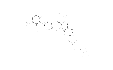 CN(c1ncc2cc(C(F)F)c(=O)n(Cc3ccc(-c4cccc(S(N)(=O)=O)c4F)nc3)c2n1)C1CCN(S(C)(=O)=O)CC1